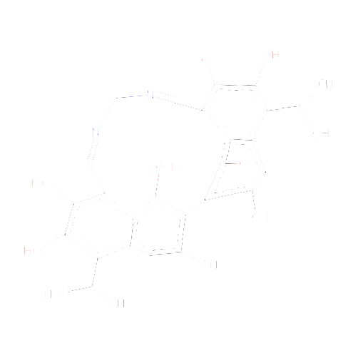 Cc1cc2c(C(C)C)c(O)c(O)c3c2c(O)c1-c1c(C)cc2c(C(C)C)c(O)c(O)c(c2c1O)/C=N\C/N=C\3